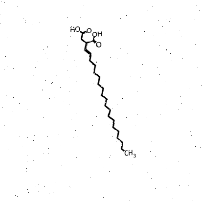 CCCCCCCCCCCCCCCCCCC=CC(CC(=O)O)C(=O)O